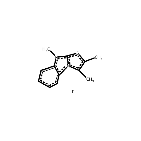 Cc1sc2n(C)c3ccccc3[n+]2c1C.[I-]